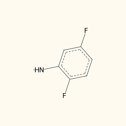 [NH]c1cc(F)ccc1F